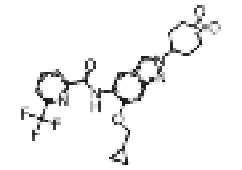 O=C(Nc1cc2cn(C3CCS(=O)(=O)CC3)nc2cc1OCC1CC1)c1cccc(C(F)(F)F)n1